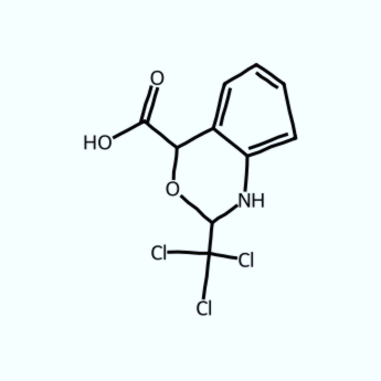 O=C(O)C1OC(C(Cl)(Cl)Cl)Nc2ccccc21